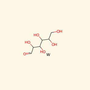 O=CC(O)C(O)C(O)C(O)CO.[W]